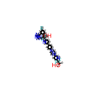 CC(O)C(F)(F)c1ccc(N2CCN(c3ccc(-c4ccc(C(F)(F)[C@]5(O)Cn6nnnc6-c6cc(F)ccc65)nc4)cc3)CC2)cn1